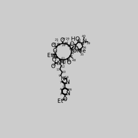 CCOc1ccc(-c2cn(CCCCN3C(=O)O[C@]4(C)[C@@H](CC)OC(=O)[C@H](C)C(=O)[C@H](C)[C@@H](OC5O[C@H](C)C[C@H](N(C)C)[C@H]5O)[C@@](C)(OC)C[C@@H](C)C(=O)[C@H](C)[C@@H]34)cn2)cn1